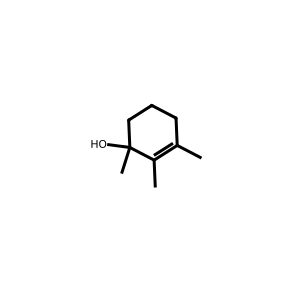 CC1=C(C)C(C)(O)CCC1